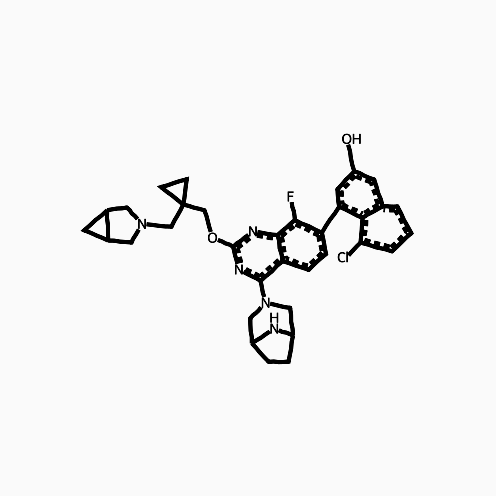 Oc1cc(-c2ccc3c(N4CC5CCC(C4)N5)nc(OCC4(CN5CC6CC6C5)CC4)nc3c2F)c2c(Cl)cccc2c1